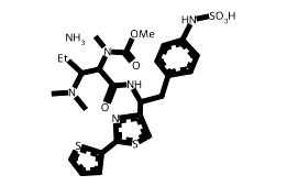 CCC(C(C(=O)NC(Cc1ccc(NS(=O)(=O)O)cc1)c1csc(-c2cccs2)n1)N(C)C(=O)OC)N(C)C.N